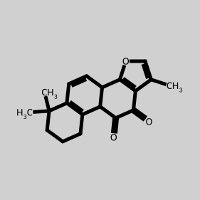 Cc1coc2c1C(=O)C(=O)C1C3=C(C=CC21)C(C)(C)CCC3